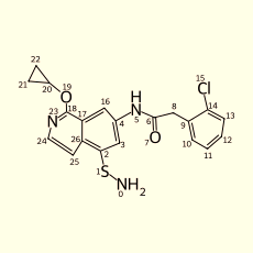 NSc1cc(NC(=O)Cc2ccccc2Cl)cc2c(OC3CC3)nccc12